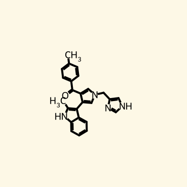 Cc1ccc(C(=O)c2cn(Cc3c[nH]cn3)cc2-c2c(C)[nH]c3ccccc23)cc1